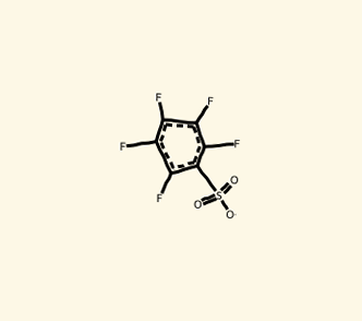 [O]S(=O)(=O)c1c(F)c(F)c(F)c(F)c1F